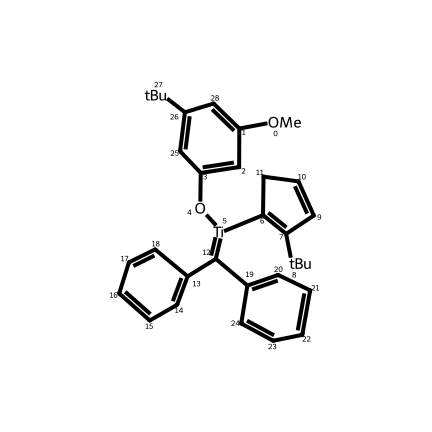 COc1cc([O][Ti]([C]2=C(C(C)(C)C)C=CC2)=[C](c2ccccc2)c2ccccc2)cc(C(C)(C)C)c1